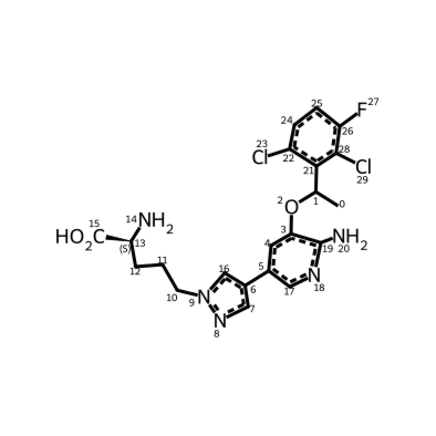 CC(Oc1cc(-c2cnn(CCC[C@H](N)C(=O)O)c2)cnc1N)c1c(Cl)ccc(F)c1Cl